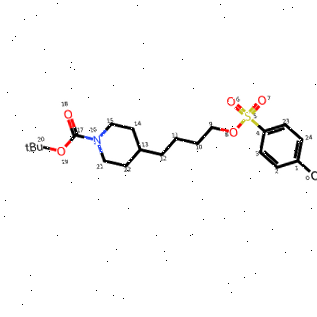 Cc1ccc(S(=O)(=O)OCCCCC2CCN(C(=O)OC(C)(C)C)CC2)cc1